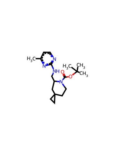 Cc1ccnc(NCC2CC3(CCN2C(=O)OC(C)(C)C)CC3)n1